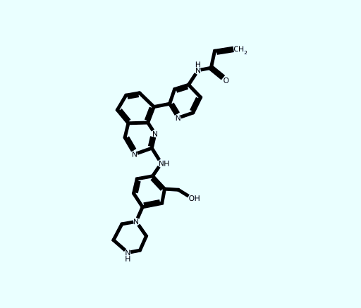 C=CC(=O)Nc1ccnc(-c2cccc3cnc(Nc4ccc(N5CCNCC5)cc4CO)nc23)c1